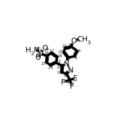 COc1ccc(-n2nc(C(F)(F)F)cc2-c2ccc(S(N)(=O)=O)cc2)cc1